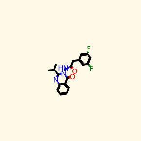 CC(C)c1nc2ccccc2c(=O)n1NC(=O)Cc1cc(F)cc(F)c1